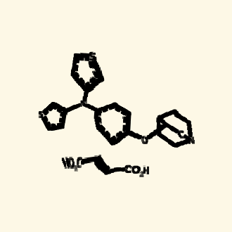 O=C(O)/C=C/C(=O)O.c1cc(N(c2ccc(OC3CN4CCC3CC4)cc2)c2ccsc2)cs1